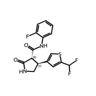 O=C1NC[C@H](c2csc(C(F)F)c2)[C@H]1C(=O)Nc1ccccc1F